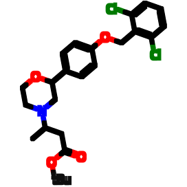 CC(CC(=O)OC(C)(C)C)N1CCOC(c2ccc(OCc3c(Cl)cccc3Cl)cc2)C1